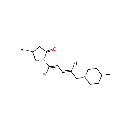 CC/C(=C\C=C(/CC)N1CC(C(C)=O)CC1=O)CN1CCC(C)CC1